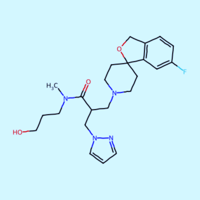 CN(CCCO)C(=O)C(CN1CCC2(CC1)OCc1ccc(F)cc12)Cn1cccn1